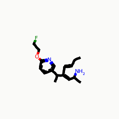 CC/C=C/C(=C\C(C)N)C(C)c1ccc(OCCF)nc1